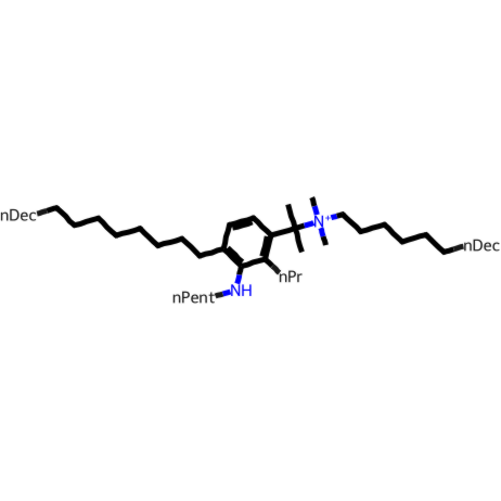 CCCCCCCCCCCCCCCCCCc1ccc(C(C)(C)[N+](C)(C)CCCCCCCCCCCCCCCC)c(CCC)c1NCCCCC